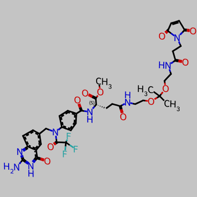 COC(=O)[C@H](CCC(=O)NCCOC(C)(C)OCCNC(=O)CCN1C(=O)C=CC1=O)NC(=O)c1ccc(N(Cc2ccc3nc(N)[nH]c(=O)c3c2)C(=O)C(F)(F)F)cc1